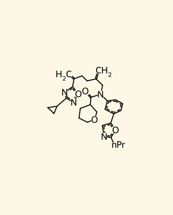 C=C(CCC(=C)c1nc(C2CC2)no1)CN(C(=O)C1CCCOC1)c1cccc(-c2cnc(CCC)o2)c1